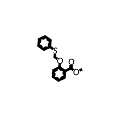 COC(=O)c1ccccc1OCSc1ccccc1